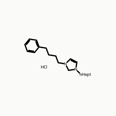 CCCCCCCN1C=CN(CCCCc2ccccc2)C1.Cl